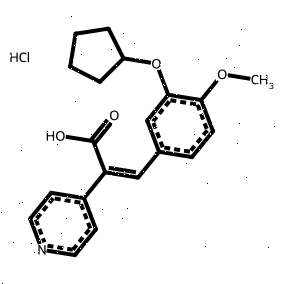 COc1ccc(C=C(C(=O)O)c2ccncc2)cc1OC1CCCC1.Cl